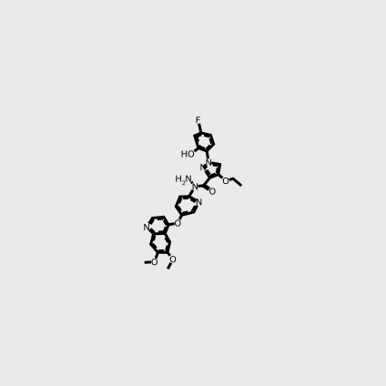 CCOc1cn(-c2ccc(F)cc2O)nc1C(=O)N(N)c1ccc(Oc2ccnc3cc(OC)c(OC)cc23)cn1